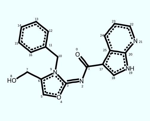 O=C(N=c1occ(CO)n1Cc1ccccc1)c1c[nH]c2ncccc12